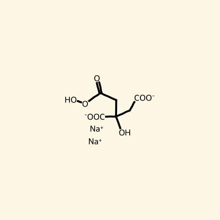 O=C([O-])CC(O)(CC(=O)OO)C(=O)[O-].[Na+].[Na+]